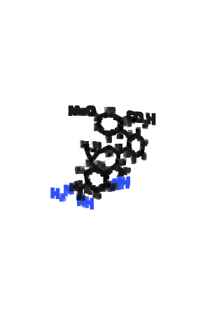 COc1ccc(-c2ccccc2C(CC2CC2)c2c[nH]c3cc(C(=N)N)ccc23)c(C(=O)O)c1